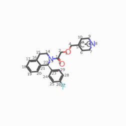 O=C(COCC12CCN(CC1)CC2)N1CCc2ccccc2[C@@H]1c1ccc(F)cc1